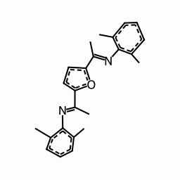 CC(=Nc1c(C)cccc1C)c1ccc(C(C)=Nc2c(C)cccc2C)o1